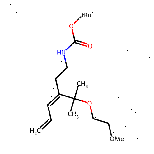 C=C/C=C(/CCNC(=O)OC(C)(C)C)C(C)(C)OCCOC